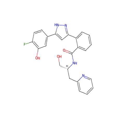 O=C(N[C@@H](CO)Cc1ccccn1)c1ccccc1-c1cc(-c2ccc(F)c(O)c2)[nH]n1